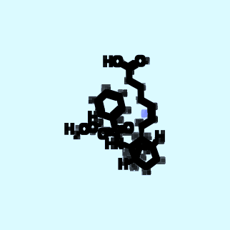 O.O.O=C(O)CCC/C=C\C[C@H]1[C@@H]2CC[C@@H](C2)[C@H]1NS(=O)(=O)c1ccccc1